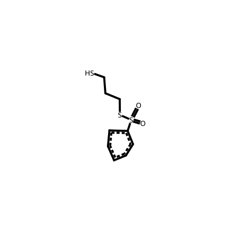 O=S(=O)(SCCCS)c1ccccc1